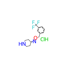 Cl.FC(F)(F)c1cccc(CON=C2CCNCC2)c1